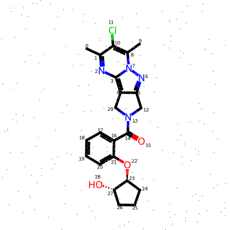 Cc1nc2c3c(nn2c(C)c1Cl)CN(C(=O)c1ccccc1O[C@H]1CCC[C@@H]1O)C3